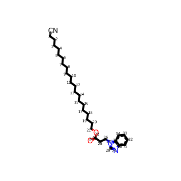 N#CCCCCCCCCCCCCCCCCCCCCCOC(=O)CCn1cnc2ccccc21